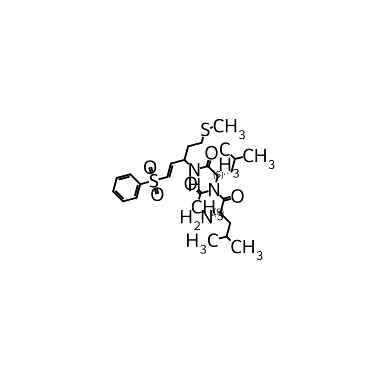 CSCCC(C=CS(=O)(=O)c1ccccc1)NC(=O)[C@H](CC(C)C)N(C(C)=O)C(=O)[C@@H](N)CC(C)C